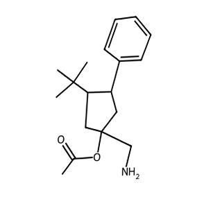 CC(=O)OC1(CN)CC(c2ccccc2)C(C(C)(C)C)C1